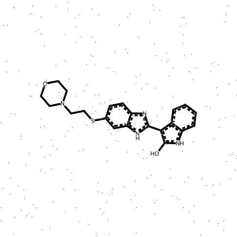 Oc1[nH]c2ccccc2c1-c1nc2ccc(SCCN3CCOCC3)cc2[nH]1